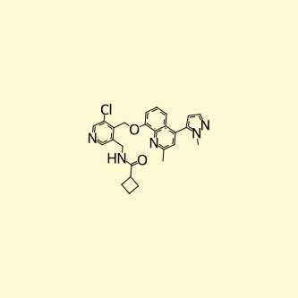 Cc1cc(-c2ccnn2C)c2cccc(OCc3c(Cl)cncc3CNC(=O)C3CCC3)c2n1